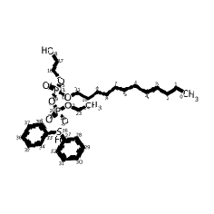 CCCCCCCCCCCCOP(=O)(OCCO)OP(=O)(OCC)O[SH](c1ccccc1)c1ccccc1